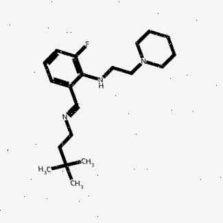 CC(C)(C)CCN=Cc1cccc(F)c1NCCN1CCCCC1